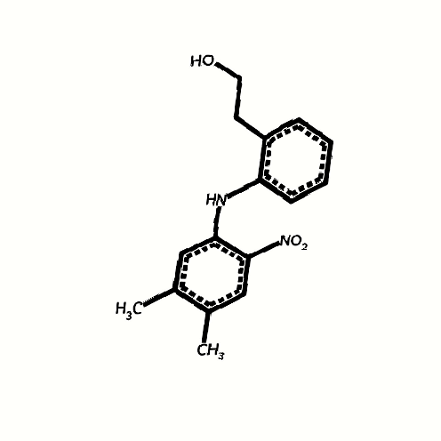 Cc1cc(Nc2ccccc2CCO)c([N+](=O)[O-])cc1C